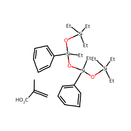 C=C(C)C(=O)O.CC[Si](CC)(CC)O[Si](CC)(O[Si](CC)(O[Si](CC)(CC)CC)c1ccccc1)c1ccccc1